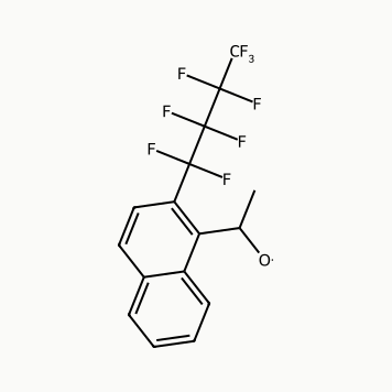 CC([O])c1c(C(F)(F)C(F)(F)C(F)(F)C(F)(F)F)ccc2ccccc12